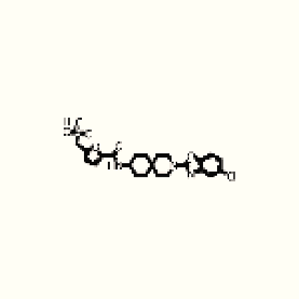 CS(=O)(=O)Cc1ccc(C(=O)NC2CCC3(CC2)CCN(c2nc4cc(Cl)ccc4o2)CC3)o1